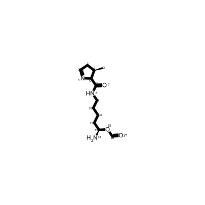 C[C@@H]1CC=NC1C(=O)NCCCC[C@H](N)OC=O